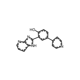 Oc1ccc(-c2ccncc2)cc1-c1nc2ncccc2[nH]1